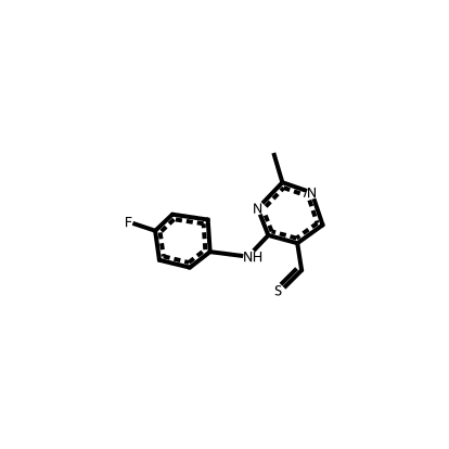 Cc1ncc(C=S)c(Nc2ccc(F)cc2)n1